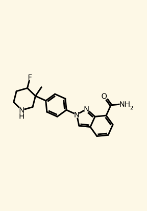 CC1(c2ccc(-n3cc4cccc(C(N)=O)c4n3)cc2)CNCCC1F